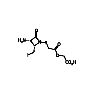 N[C@@H]1C(=O)N(SCC(=O)OCC(=O)O)[C@@H]1CI